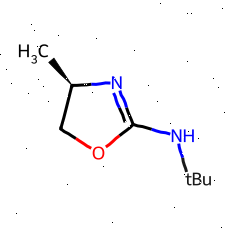 C[C@@H]1COC(NC(C)(C)C)=N1